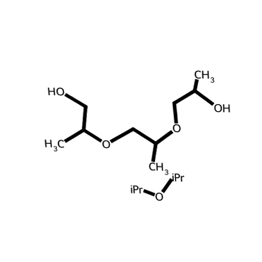 CC(C)OC(C)C.CC(O)COC(C)COC(C)CO